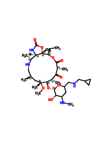 CC[C@H]1OC(=O)[C@H](C)C(=O)[C@H](C)[C@@H](O[C@@H]2OC(CNCC3CC3)CC(NC)C2O)[C@](C)(OC)C[C@@H](C)CN[C@H](C)[C@H]2NC(=O)O[C@@]21C